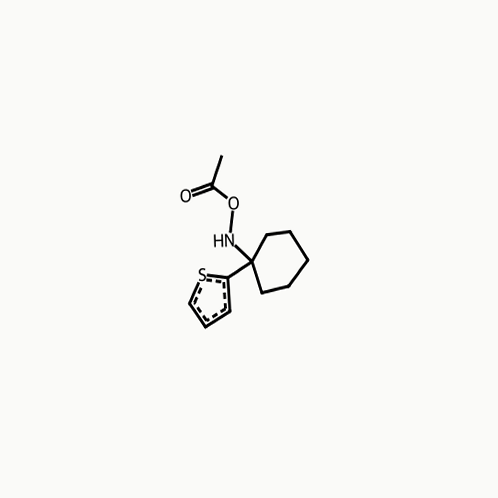 CC(=O)ONC1(c2cccs2)CCCCC1